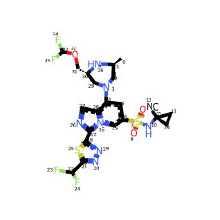 C[C@H]1CN(c2cc(S(=O)(=O)NC3(C#N)CC3)cn3c(-c4nnc(C(F)F)s4)ncc23)C[C@H](COC(F)F)N1